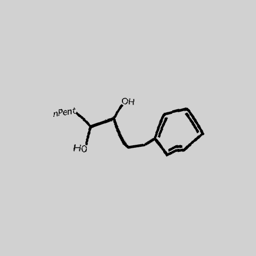 CCCCCC(O)C(O)Cc1ccccc1